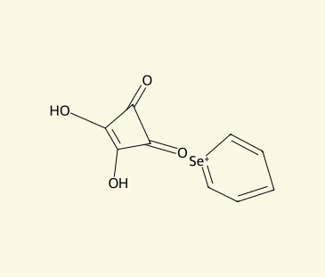 O=c1c(O)c(O)c1=O.c1cc[se+]cc1